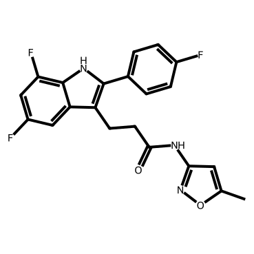 Cc1cc(NC(=O)CCc2c(-c3ccc(F)cc3)[nH]c3c(F)cc(F)cc23)no1